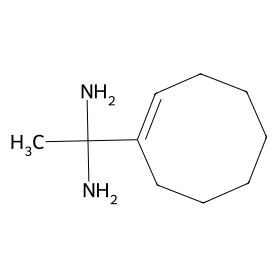 CC(N)(N)C1=CCCCCCC1